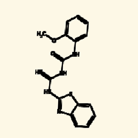 COc1ccccc1NC(=O)NC(=N)Nc1nc2ccccc2s1